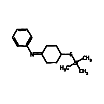 C[Si](C)(C)SC1CCC(=Nc2ccccc2)CC1